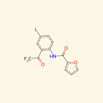 O=C(Nc1ccc(I)cc1C(=O)C(F)(F)F)c1ccco1